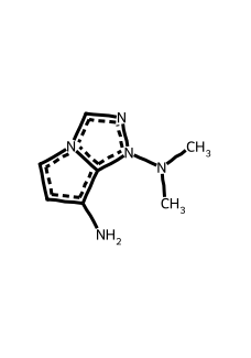 CN(C)n1ncn2ccc(N)c12